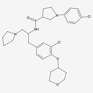 O=C(NC(Cc1ccc(OC2CCOCC2)c(Cl)c1)CN1CCCC1)C1CCN(c2ccc(Cl)cc2)C1